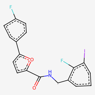 O=C(N[CH]c1cccc(I)c1F)c1ccc(-c2ccc(F)cc2)o1